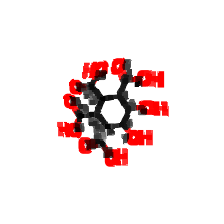 O=C(O)C1C(O)C(O)[C@H](C(=O)O)C(C(=O)O)C1C(=O)O